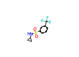 O=S(=O)(NC1CC1)c1cccc(C(F)(F)F)c1